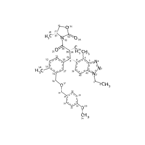 CCn1nnc2c(C)c([C@H](c3ccc(C)c(COCc4ccc(OC)cc4)c3)[C@@H](C)C(=O)N3C(=O)OC[C@H]3C)ccc21